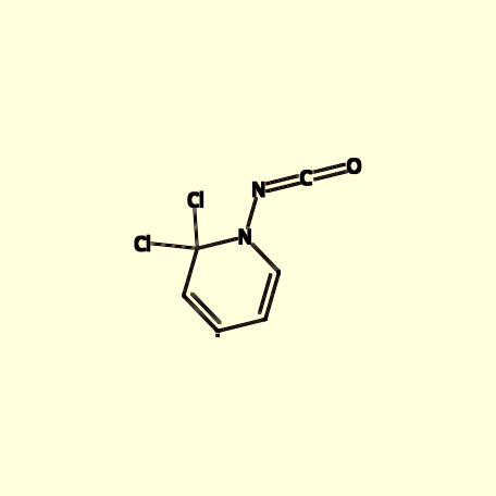 O=C=NN1C=C[C]=CC1(Cl)Cl